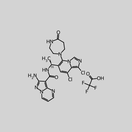 C[C@H](NC(=O)c1c(N)nn2cccnc12)c1cc(Cl)c2c(Cl)ncn2c1N1CCNC(=O)CC1.O=C(O)C(F)(F)F